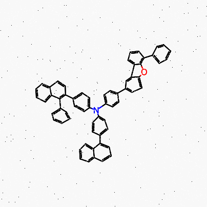 c1ccc(-c2c(-c3ccc(N(c4ccc(-c5ccc6oc7c(-c8ccccc8)cccc7c6c5)cc4)c4ccc(-c5cccc6ccccc56)cc4)cc3)ccc3ccccc23)cc1